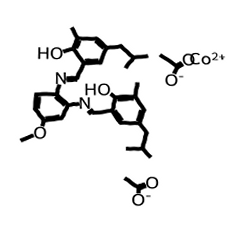 CC(=O)[O-].CC(=O)[O-].COc1ccc(N=Cc2cc(CC(C)C)cc(C)c2O)c(N=Cc2cc(CC(C)C)cc(C)c2O)c1.[Co+2]